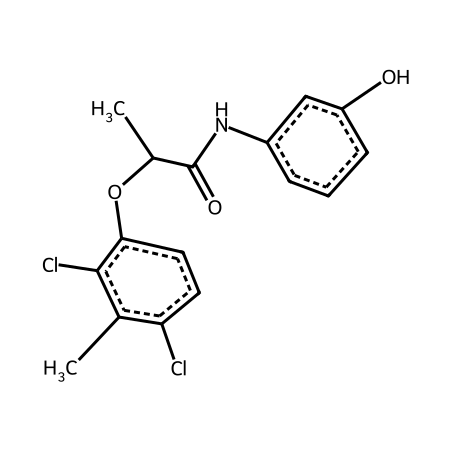 Cc1c(Cl)ccc(OC(C)C(=O)Nc2cccc(O)c2)c1Cl